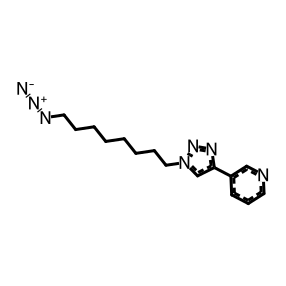 [N-]=[N+]=NCCCCCCCCn1cc(-c2cccnc2)nn1